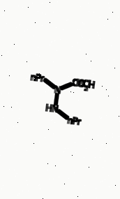 CCCNN(CCC)C(=O)O.Cl